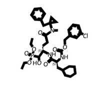 CCOP(=O)(OCC)C(O)[C@H](CCC(=O)N(C)C1(Cc2ccccc2)CC1)NC(=O)[C@H](CC1CCCCC1)NC(=O)OCc1cccc(Cl)c1